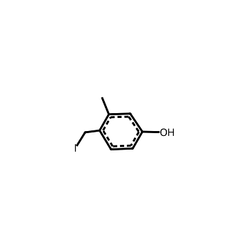 Cc1cc(O)ccc1CI